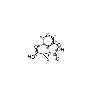 O=C(O)C1CC1(C(=O)O)c1ccccc1Cl